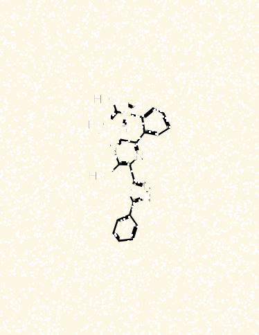 C=C(C)S(=O)(=O)c1ccccc1-c1cnc(C)c(-c2nnc(-c3ccccc3)o2)n1